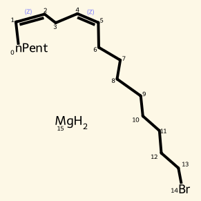 CCCCC/C=C\C/C=C\CCCCCCCCBr.[MgH2]